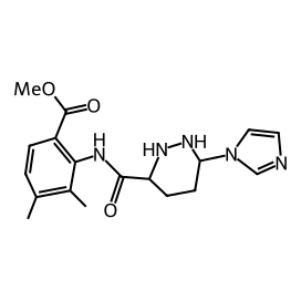 COC(=O)c1ccc(C)c(C)c1NC(=O)C1CCC(n2ccnc2)NN1